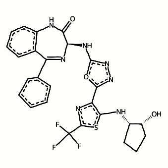 O=C1Nc2ccccc2C(c2ccccc2)=N[C@@H]1Nc1nnc(-c2nc(C(F)(F)F)sc2N[C@H]2CCC[C@H]2O)o1